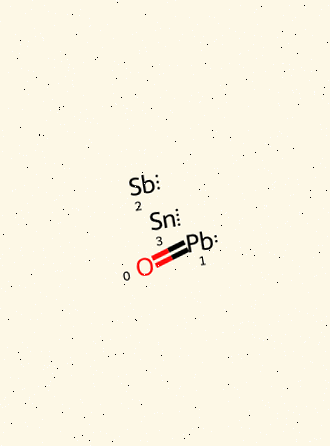 [O]=[Pb].[Sb].[Sn]